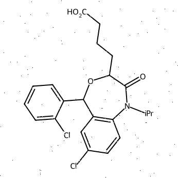 CC(C)N1C(=O)C(CCCC(=O)O)OC(c2ccccc2Cl)c2cc(Cl)ccc21